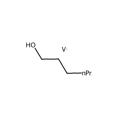 CCCCCCO.[V]